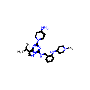 CC(C)c1cnn2c(NCc3ccccc3NC3CCN(C)CC3)nc(N3CCC(N)CC3)nc12